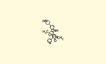 CC(C)c1c(-c2cc(-c3cccnc3)c(=O)n(C)c2)[nH]c2ccc(C3CCNCC3)cc12